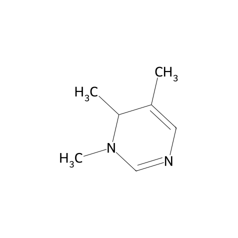 CC1=CN=CN(C)C1C